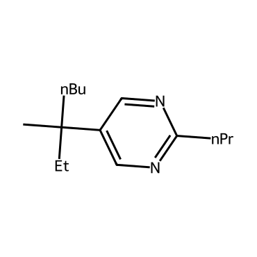 CCCCC(C)(CC)c1cnc(CCC)nc1